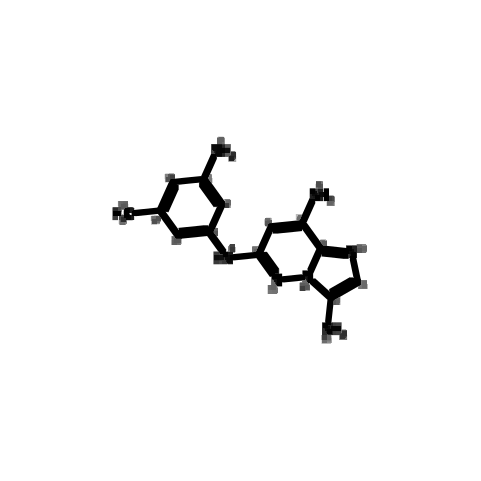 Nc1cc(Nc2cc(N)c3ncc(N)n3n2)cc(C(F)(F)F)c1